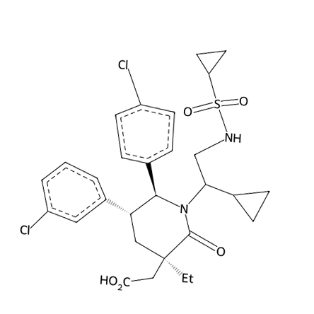 CC[C@]1(CC(=O)O)C[C@H](c2cccc(Cl)c2)[C@@H](c2ccc(Cl)cc2)N(C(CNS(=O)(=O)C2CC2)C2CC2)C1=O